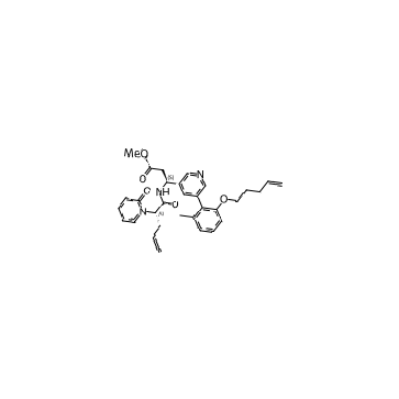 C=CCCCOc1cccc(C)c1-c1cncc([C@H](CC(=O)OC)NC(=O)[C@H](CC=C)n2ccccc2=O)c1